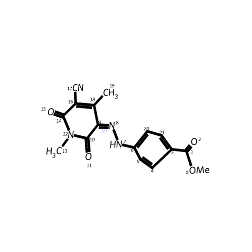 COC(=O)c1ccc(N/N=C2\C(=O)N(C)C(=O)C(C#N)=C2C)cc1